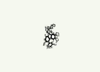 COc1ccc(C2(c3ccc(F)c(-c4cncc(C)c4)c3)COC(NOC=O)=N2)cc1Cl